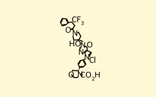 O=C(CC(c1ccccc1)C(F)(F)F)N1CCC(O)(Cn2cnc3c(cc(Cl)n3-c3ccc([C@@H]4COCCN4C(=O)O)cc3)c2=O)CC1